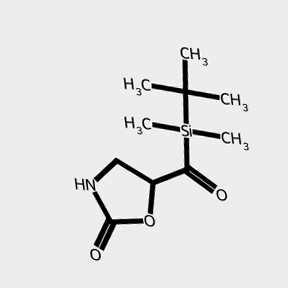 CC(C)(C)[Si](C)(C)C(=O)C1CNC(=O)O1